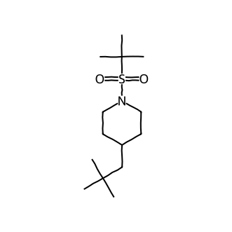 CC(C)(C)CC1CCN(S(=O)(=O)C(C)(C)C)CC1